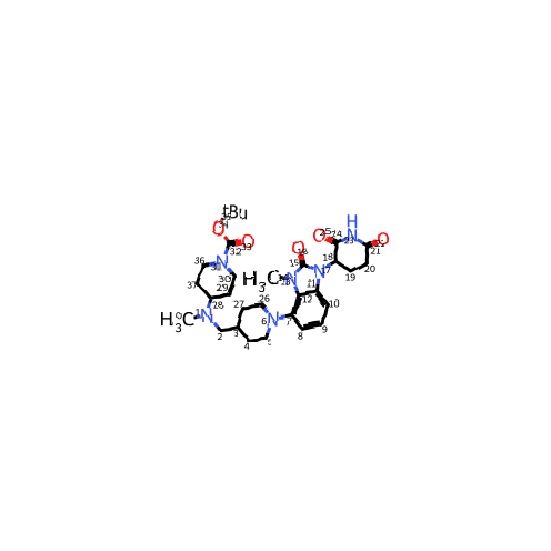 CN(CC1CCN(c2cccc3c2n(C)c(=O)n3C2CCC(=O)NC2=O)CC1)C1CCN(C(=O)OC(C)(C)C)CC1